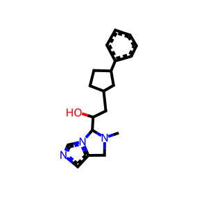 CN1Cc2cncn2C1C(O)CC1CCC(c2ccccc2)C1